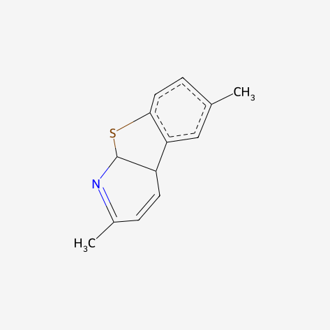 CC1=NC2Sc3ccc(C)cc3C2C=C1